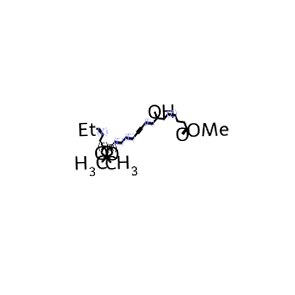 CC/C=C\C[C@@H]1OC(C)(C)O[C@@H]1/C=C/C=C/C#C/C=C/C(O)C/C=C\CCC(=O)OC